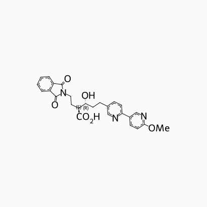 COc1ccc(-c2ccc(CC[C@@H](O)[C@H](CCN3C(=O)c4ccccc4C3=O)C(=O)O)cn2)cn1